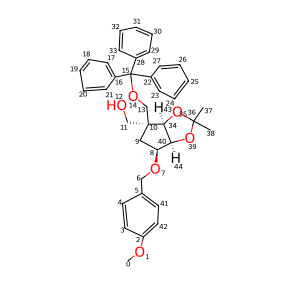 COc1ccc(CO[C@H]2C[C@@](CO)(COC(c3ccccc3)(c3ccccc3)c3ccccc3)[C@H]3OC(C)(C)O[C@@H]23)cc1